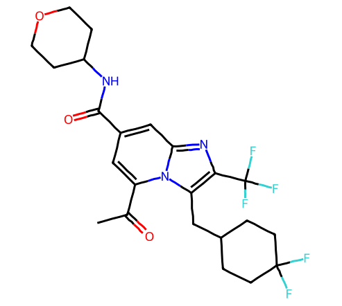 CC(=O)c1cc(C(=O)NC2CCOCC2)cc2nc(C(F)(F)F)c(CC3CCC(F)(F)CC3)n12